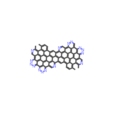 Cc1ncc2c3nnnc4c5cnnc6c7cnc8c9cc%10c%11ccc(C)c%12c%13c(C)ncc%14c%15nnnc%16c%17nnnc%18c%19cnc%20c%21cc%22c%23ccc(C)c%24c1c2c1c(c43)c(c56)c2c7c8c(c%21c9c3c%10c4c(c%11%12)c(c%14%13)c(c%15%16)c(c%18%17)c4c%19c%203)c%22c2c1c%23%24